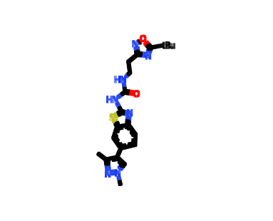 Cc1nn(C)cc1-c1ccc2nc(NC(=O)NCCc3noc(C(C)(C)C)n3)sc2c1